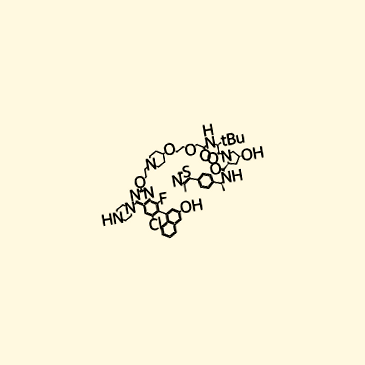 Cc1ncsc1-c1ccc([C@H](C)NC(=O)[C@@H]2C[C@@H](O)CN2C(=O)[C@@H](NC(=O)COCCOC2CCN(CCOc3nc(N4CCNCC4)c4cc(Cl)c(-c5cc(O)cc6ccccc56)c(F)c4n3)CC2)C(C)(C)C)cc1